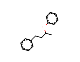 [CH2]C(CCc1ccccc1)Oc1ccccc1